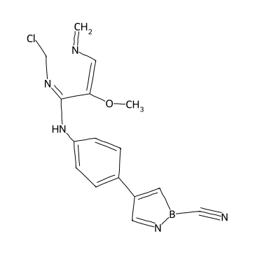 C=N/C=C(OC)\C(=N/CCl)Nc1ccc(C2=CB(C#N)N=C2)cc1